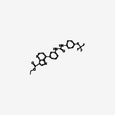 CCOC(=O)c1cnn2c(-c3cccc(NC(=O)Nc4ccc(SC(F)(F)F)cc4)c3)ccnc12